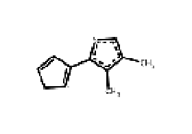 Cc1csc(C2=[C]CC=C2)c1C